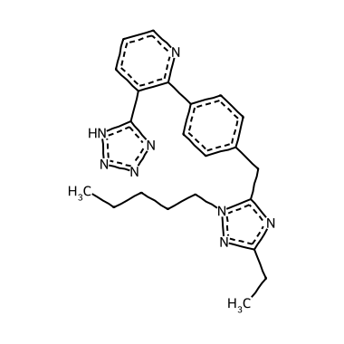 CCCCCn1nc(CC)nc1Cc1ccc(-c2ncccc2-c2nnn[nH]2)cc1